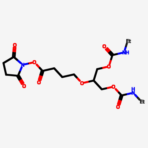 CCNC(=O)OCC(COC(=O)NCC)OCCCC(=O)ON1C(=O)CCC1=O